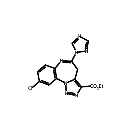 CCOC(=O)c1nnn2c1CC(n1cncn1)=Nc1ccc(Cl)cc1-2